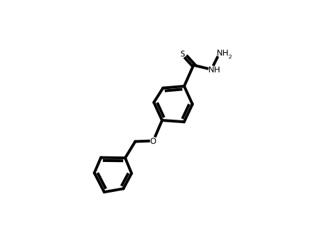 NNC(=S)c1ccc(OCc2ccccc2)cc1